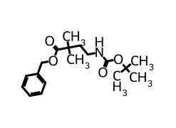 CC(C)(C)OC(=O)NCCC(C)(C)C(=O)OCc1ccccc1